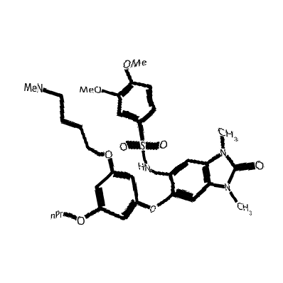 CCCOc1cc(OCCCCNC)cc(Oc2cc3c(cc2NS(=O)(=O)c2ccc(OC)c(OC)c2)n(C)c(=O)n3C)c1